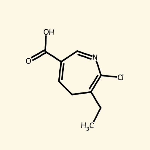 CCC1=C(Cl)N=CC(C(=O)O)=CC1